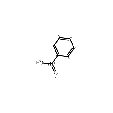 O=[N+](O)c1ccccc1